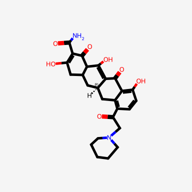 NC(=O)C1=C(O)CC2C[C@@H]3Cc4c(C(=O)CN5CCCCC5)ccc(O)c4C(=O)C3=C(O)C2C1=O